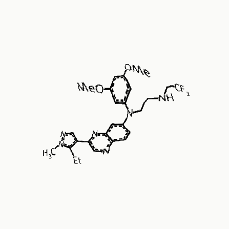 CCc1c(-c2cnc3ccc(N(CCNCC(F)(F)F)c4cc(OC)cc(OC)c4)cc3n2)cnn1C